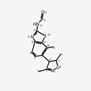 CC1=NOC(C)C1c1ccc2nc(NC=O)sc2c1C